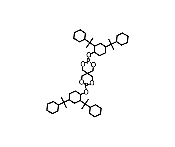 CC(C)(C1CCCCC1)C1CCC(OP2OCC3(CO2)COP(OC2CCC(C(C)(C)C4CCCCC4)CC2C(C)(C)C2CCCCC2)OC3)C(C(C)(C)C2CCCCC2)C1